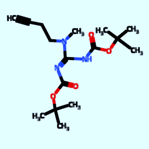 C#CCCN(C)/C(=N/C(=O)OC(C)(C)C)NC(=O)OC(C)(C)C